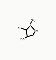 CCC1C(C)CNN1C